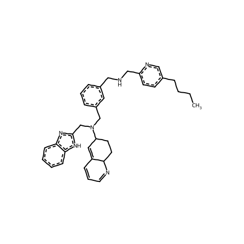 CCCCc1ccc(CNCc2cccc(CN(Cc3nc4ccccc4[nH]3)C3C=C4C=CC=NC4CC3)c2)nc1